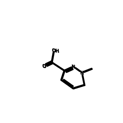 CN1CC=CC(C(=O)O)=N1